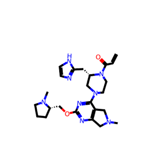 C=CC(=O)N1CCN(c2nc(OC[C@@H]3CCCN3C)nc3c2CN(C)C3)C[C@@H]1Cc1ncc[nH]1